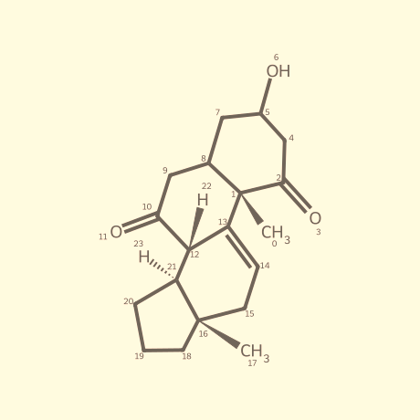 C[C@]12C(=O)CC(O)CC1CC(=O)[C@@H]1C2=CC[C@]2(C)CCC[C@@H]12